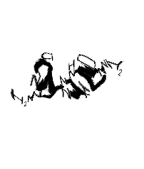 NN1CCC(Nc2nc(-c3cn(N)c4c3=CC(Cl)CN=4)ncc2F)C1=O